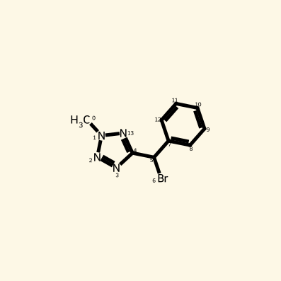 Cn1nnc(C(Br)c2ccccc2)n1